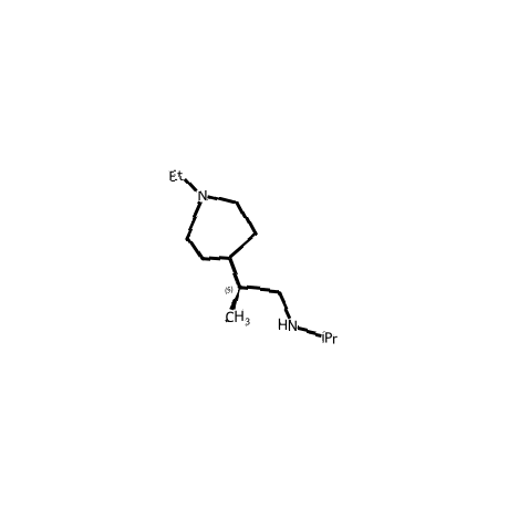 CCN1CCC([C@H](C)CNC(C)C)CC1